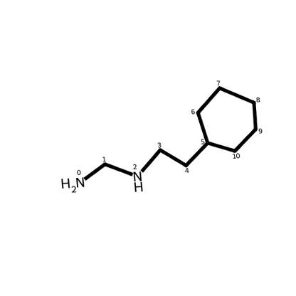 NCNCCC1CCCCC1